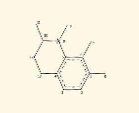 Cc1ccc2c(c1C)N(C)C(C)CC2